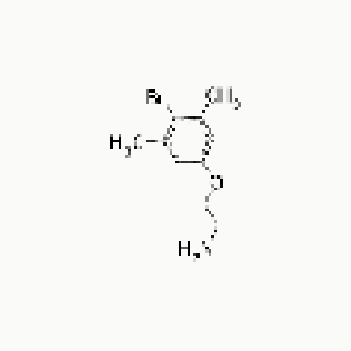 Cc1cc(OCCN)cc(C)c1Br